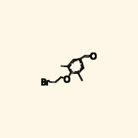 Cc1cc(C=O)cc(C)c1OCCBr